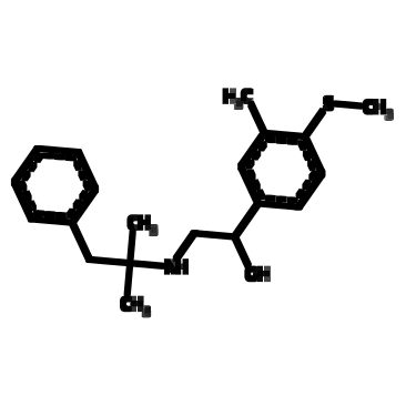 CSc1ccc(C(O)CNC(C)(C)Cc2ccccc2)cc1C